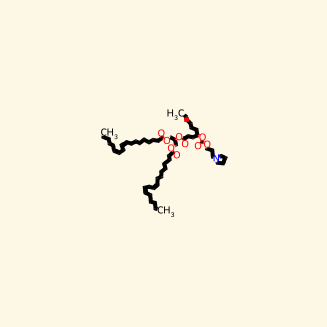 CCCCC/C=C\C/C=C\CCCCCCCC(=O)OCC(COC(=O)CCCCCCC/C=C\C/C=C\CCCCC)OC(=O)CCC(CCCCCC)OC(=O)OCCCN1CCCC1